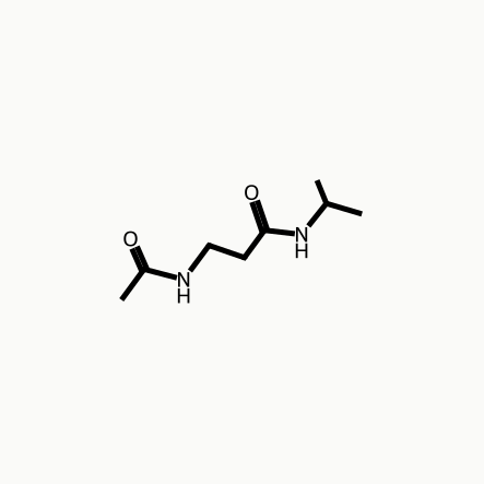 CC(=O)NCCC(=O)NC(C)C